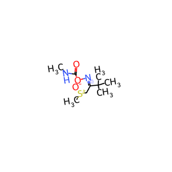 CNC(=O)O/N=C(\C[S+](C)[O-])C(C)(C)C